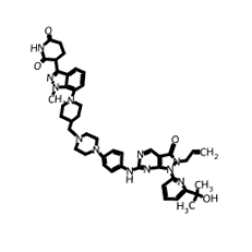 C=CCn1c(=O)c2cnc(Nc3ccc(N4CCN(CC5CCN(c6cccc7c(C8CCC(=O)NC8=O)nn(C)c67)CC5)CC4)cc3)nc2n1-c1cccc(C(C)(C)O)n1